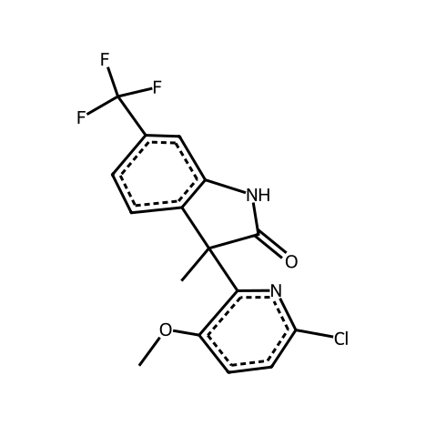 COc1ccc(Cl)nc1C1(C)C(=O)Nc2cc(C(F)(F)F)ccc21